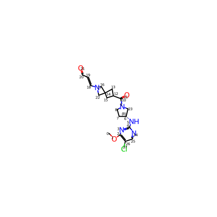 COc1nc(N[C@@H]2CCN(C(=O)C3CC4(C3)CN(C=CC=O)C4)C2)ncc1Cl